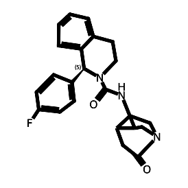 O=C1CC2CCN1CC2NC(=O)N1CCc2ccccc2[C@@H]1c1ccc(F)cc1